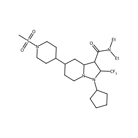 CCN(CC)C(=O)C1C2CC(C3CCN(S(C)(=O)=O)CC3)CCN2N(C2CCCC2)C1C(F)(F)F